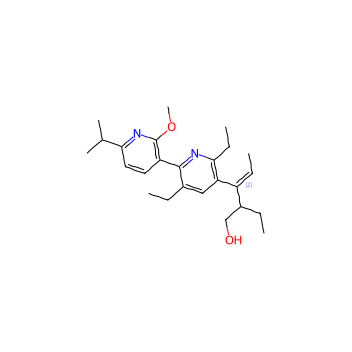 C/C=C(\c1cc(CC)c(-c2ccc(C(C)C)nc2OC)nc1CC)C(CC)CO